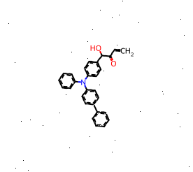 C=CC(=O)C(O)c1ccc(N(c2ccccc2)c2ccc(-c3ccccc3)cc2)cc1